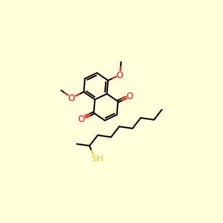 CCCCCCCC(C)S.COc1ccc(OC)c2c1C(=O)C=CC2=O